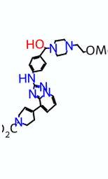 CCOC(=O)N1CC=C(c2cccn3nc(Nc4ccc(C(O)N5CCN(CCOC)CC5)cc4)nc23)CC1